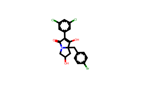 O=C1C(c2cc(Cl)cc(Cl)c2)=C(O)C2(Cc3ccc(Br)cc3)CC(O)CN12